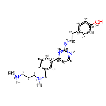 CCN(CC)CCCN(CC)Cc1cccc(-c2ccnc(NCCc3ccc(O)cc3)n2)c1